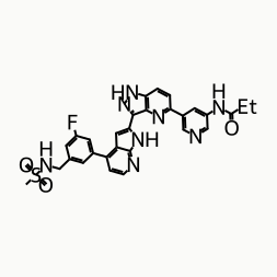 CCC(=O)Nc1cncc(-c2ccc3[nH]nc(-c4cc5c(-c6cc(F)cc(CNS(C)(=O)=O)c6)ccnc5[nH]4)c3n2)c1